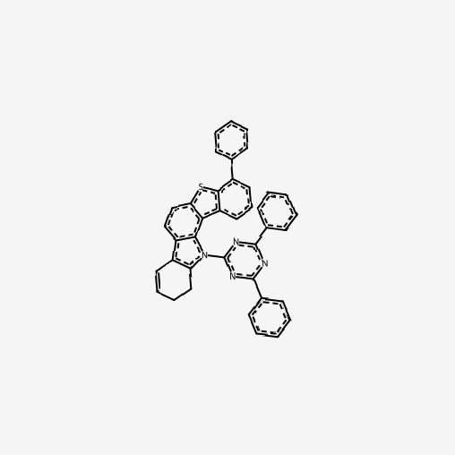 C1=Cc2c(n(-c3nc(-c4ccccc4)nc(-c4ccccc4)n3)c3c2ccc2sc4c(-c5ccccc5)cccc4c23)CC1